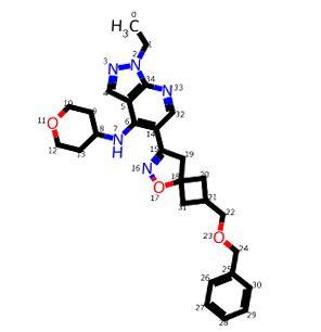 CCn1ncc2c(NC3CCOCC3)c(C3=NOC4(C3)CC(COCc3ccccc3)C4)cnc21